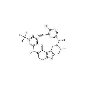 CC(c1ccnc(C(F)(F)F)c1)N1CCn2nc3c(c2C1=O)CN(C(=O)c1ccc(Cl)c(C#N)c1)[C@H](C)C3